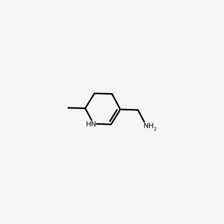 CC1CCC(CN)=CN1